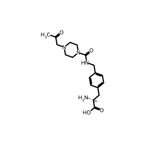 CC(=O)CN1CCN(C(=O)NCc2ccc(C[C@@H](N)C(=O)O)cc2)CC1